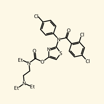 CCN(CC)CCN(CC)C(=O)Oc1csc(N(C(=O)c2ccc(Cl)cc2Cl)c2ccc(Cl)cc2)n1